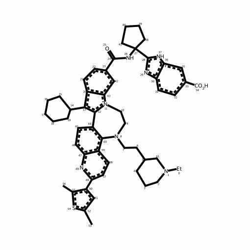 CCN1CCCC(CCN2CCn3c(c(C4CCCCC4)c4ccc(C(=O)NC5(c6nc7ccc(C(=O)O)cc7[nH]6)CCCC5)cc43)-c3ccc4nc(-c5cc(C)sc5C)ccc4c32)C1